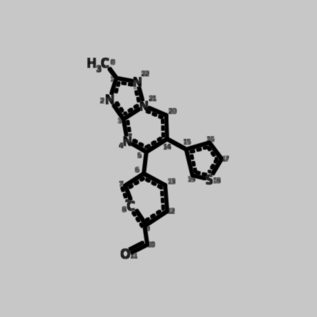 Cc1nc2nc(-c3ccc(C=O)cc3)c(-c3ccsc3)cn2n1